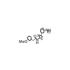 CCNc1cc(-c2csc(NC(=O)Cc3cccc(OC)c3)n2)ccn1